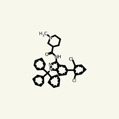 CN1CCCC(C(=O)Nc2nn(C(c3ccccc3)(c3ccccc3)c3ccccc3)c3ccc(-c4c(Cl)cccc4Cl)cc23)C1